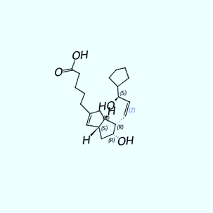 O=C(O)CCCCC1=C[C@H]2C[C@@H](O)[C@@H](/C=C\[C@@H](O)C3CCCC3)[C@H]2C1